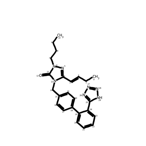 CCC=Cc1nn(CCCC)c(=O)n1Cc1ccc(-c2ccccc2-c2nnn[nH]2)cc1